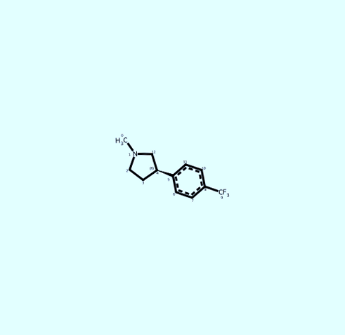 CN1CC[C@H](c2ccc(C(F)(F)F)cc2)C1